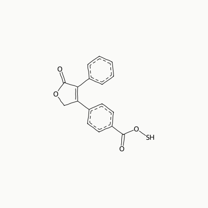 O=C1OCC(c2ccc(C(=O)OS)cc2)=C1c1ccccc1